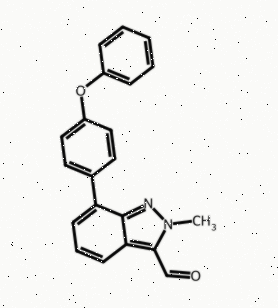 Cn1nc2c(-c3ccc(Oc4ccccc4)cc3)cccc2c1C=O